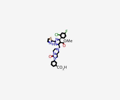 COC(=O)C1=C(CN2CCN3C(=O)N(c4cccc(C(=O)O)c4)CC3C2)NC(c2nccs2)=N[C@H]1c1ccc(F)cc1Cl